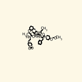 CCCC[C@H](NC(Cc1ccccc1)C(=O)N1CCC(OCOC)CC1)C(=O)N[C@@H](CC1CCCCC1)[C@@H](O)C[C@H](C(=O)NCCN1CCS(=O)(=O)CC1)C(C)C